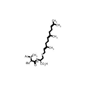 CC[C@H](C)C(C(=O)N[C@@H](CSC/C=C(\C)CC/C=C(\C)CCC=C(C)C)C(=O)O)N(C)C(C)=O